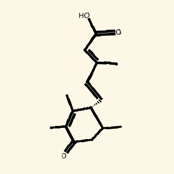 CC1=C(C)[C@H](/C=C/C(C)=C/C(=O)O)C(C)CC1=O